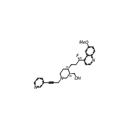 COc1ccc2nccc([C@H](F)CC[C@@H]3CCN(CC#Cc4cccnc4)C[C@@H]3CO)c2c1